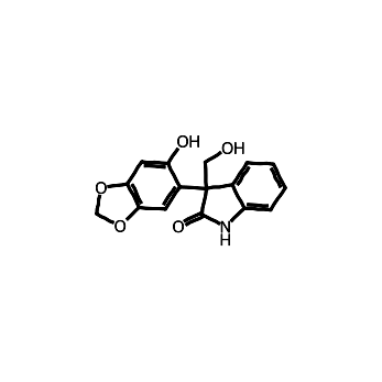 O=C1Nc2ccccc2C1(CO)c1cc2c(cc1O)OCO2